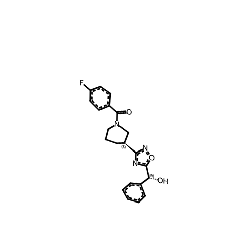 O=C(c1ccc(F)cc1)N1CCC[C@H](c2noc([C@H](O)c3ccccc3)n2)C1